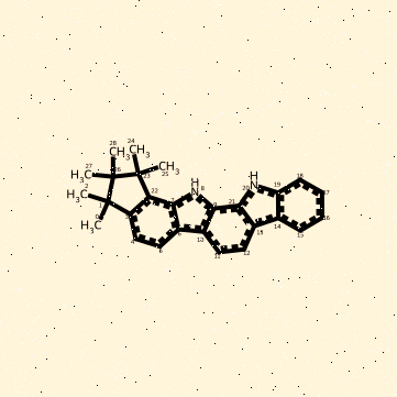 CC1(C)c2ccc3c([nH]c4c3ccc3c5ccccc5[nH]c34)c2C(C)(C)C1(C)C